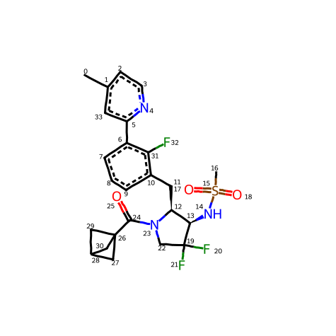 Cc1ccnc(-c2cccc(C[C@H]3[C@@H](NS(C)(=O)=O)C(F)(F)CN3C(=O)C34CC(C3)C4)c2F)c1